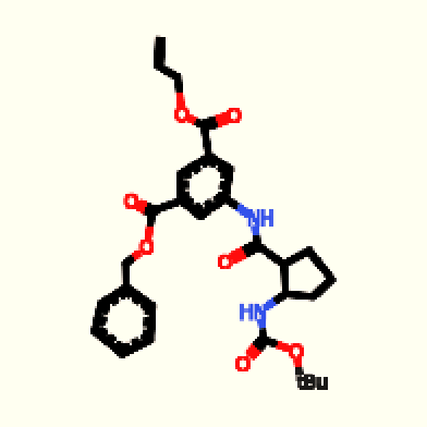 C=CCOC(=O)c1cc(NC(=O)C2CCCC2NC(=O)OC(C)(C)C)cc(C(=O)OCc2ccccc2)c1